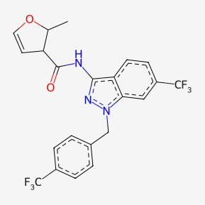 CC1OC=CC1C(=O)Nc1nn(Cc2ccc(C(F)(F)F)cc2)c2cc(C(F)(F)F)ccc12